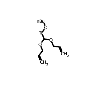 C=CCO[CH](OCC=C)[Ti][O]CCCC